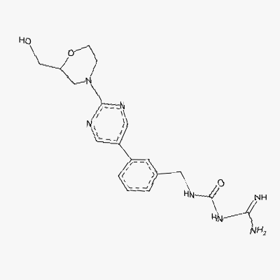 N=C(N)NC(=O)NCc1cccc(-c2cnc(N3CCOC(CO)C3)nc2)c1